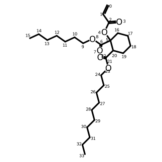 C=CC(=O)OC1(C(=O)OCCCCCCC)CCCCC1C(=O)OCCCCCCCCCC